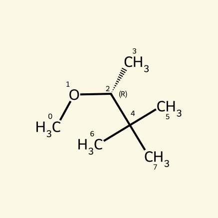 CO[C@H](C)C(C)(C)C